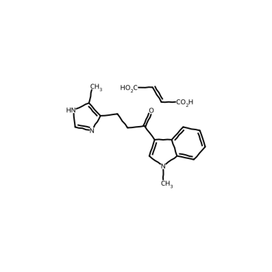 Cc1[nH]cnc1CCC(=O)c1cn(C)c2ccccc12.O=C(O)C=CC(=O)O